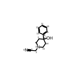 N#CCN1CCC(O)(c2ccccc2)CC1